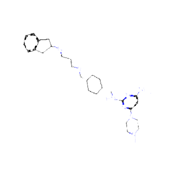 Nc1cc(N2CCNCC2)nc(NC[C@H]2CC[C@H](CNCCCNC3Cc4ccccc4C3)CC2)n1